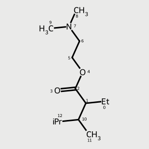 CCC(C(=O)OCCN(C)C)C(C)C(C)C